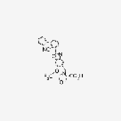 N#Cc1c(-c2ccccc2)cccc1-c1nc2cc(CN3CCOCC3C(=O)O)c(OCC(F)(F)F)cc2o1